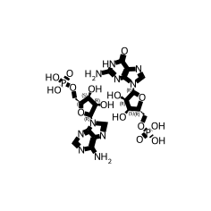 Nc1nc2c(ncn2[C@@H]2O[C@H](COP(=O)(O)O)[C@@H](O)[C@H]2O)c(=O)[nH]1.Nc1ncnc2c1ncn2[C@@H]1O[C@H](COP(=O)(O)O)[C@@H](O)[C@H]1O